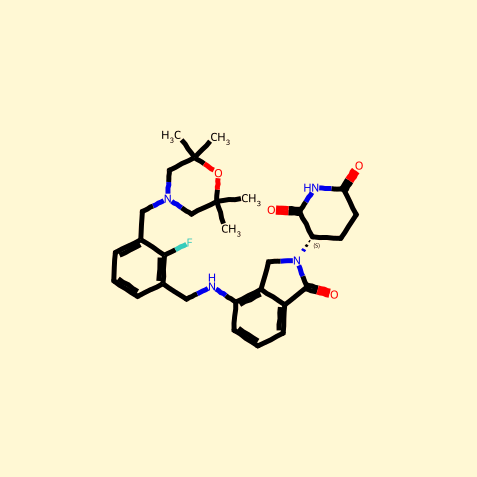 CC1(C)CN(Cc2cccc(CNc3cccc4c3CN([C@H]3CCC(=O)NC3=O)C4=O)c2F)CC(C)(C)O1